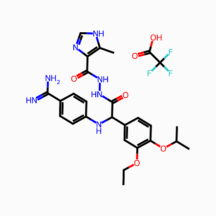 CCOc1cc(C(Nc2ccc(C(=N)N)cc2)C(=O)NNC(=O)c2nc[nH]c2C)ccc1OC(C)C.O=C(O)C(F)(F)F